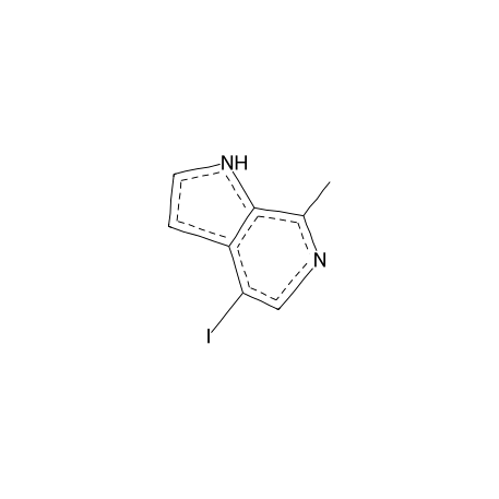 Cc1ncc(I)c2cc[nH]c12